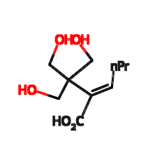 CCCC=C(C(=O)O)C(CO)(CO)CO